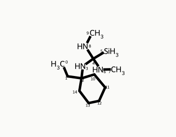 CCC1(NC([SiH3])(NC)NC)CCCCC1